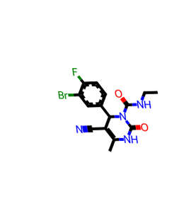 CCNC(=O)N1C(=O)NC(C)=C(C#N)C1c1ccc(F)c(Br)c1